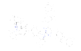 c1ccc(-c2ccc(-c3cc(-c4ccc(-c5ccccc5)cc4)nc(-n4c5ccccc5c5cc(-c6cc7c8ccccc8n8c9ccccc9c(c6)c78)ccc54)n3)cc2)cc1